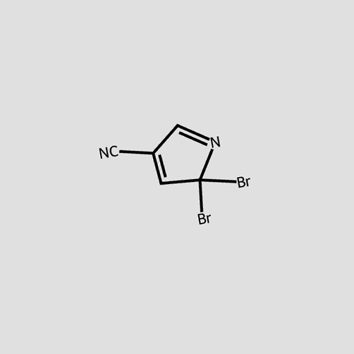 N#CC1=CC(Br)(Br)N=C1